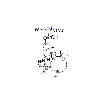 CC[C@H]1CCCC[C@@H](C)C(=O)C2=C[C@@H]3C([C@@H]2CC(=O)O1)[C@H](n1cc(SI)nn1)CC1C[C@@H](O[C@H](O)/C(OC)=C(/C)OC)C[C@H]13